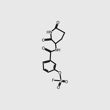 O=C1CCC(NC(=O)c2cccc(OS(=O)(=O)F)c2)C(=O)N1